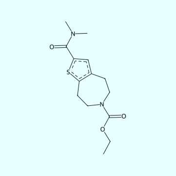 CCOC(=O)N1CCc2cc(C(=O)N(C)C)sc2CC1